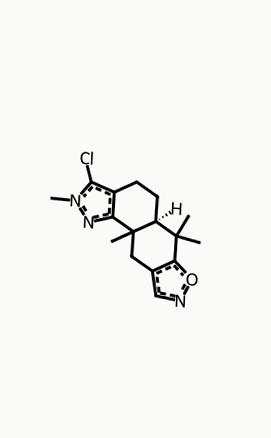 Cn1nc2c(c1Cl)CC[C@H]1C(C)(C)c3oncc3CC21C